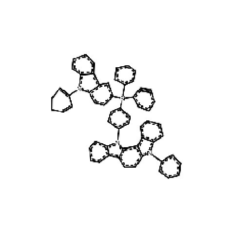 c1cccc([Si](c2ccccc2)(c2ccc(-n3c4ccccc4c4ccc5c(c6ccccc6n5-c5ccccc5)c43)cc2)c2ccc3c(c2)c2ccccc2n3C2=CCCC=C2)c#1